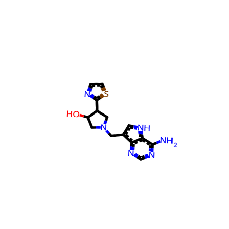 Nc1ncnc2c(CN3CC(O)C(c4nccs4)C3)c[nH]c12